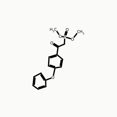 COP(=O)(CC(=O)c1ccc(Oc2ccccc2)cc1)OC